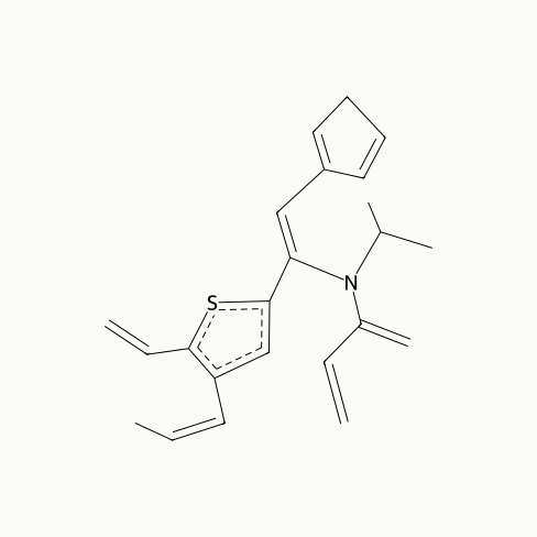 C=CC(=C)N(/C(=C\C1=CCC=C1)c1cc(/C=C\C)c(C=C)s1)C(C)C